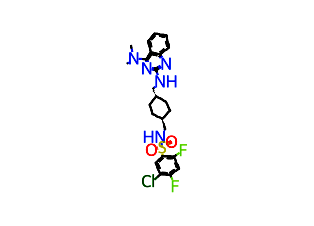 CN(C)c1nc(NC[C@H]2CC[C@H](CNS(=O)(=O)c3cc(Cl)c(F)cc3F)CC2)nc2ccccc12